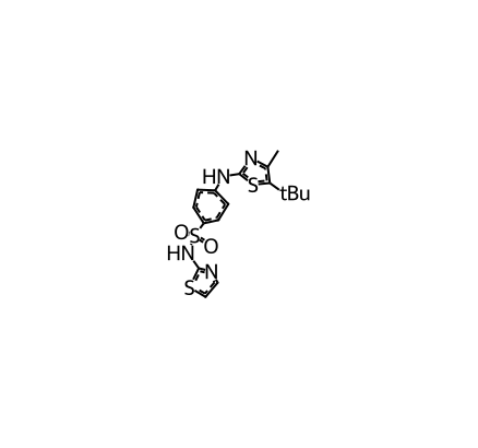 Cc1nc(Nc2ccc(S(=O)(=O)Nc3nccs3)cc2)sc1C(C)(C)C